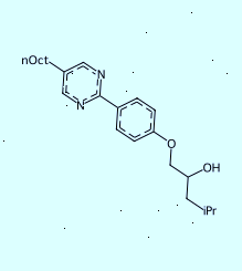 CCCCCCCCc1cnc(-c2ccc(OCC(O)CC(C)C)cc2)nc1